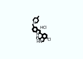 CC1CCN(Cc2ccc3[nH]c(-c4ccc(Cl)c5c4C(=O)NC5)cc3c2)CC1.Cl